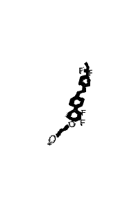 CCC(F)(F)c1ccc(CCc2ccc(-c3ccc(OCCCCOC)c(F)c3F)cc2)cc1